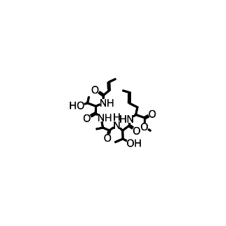 C/C=C/CC(NC(=O)C(NC(=O)C(C)NC(=O)C(NC(=O)/C=C/C)C(C)O)C(C)O)C(=O)OC